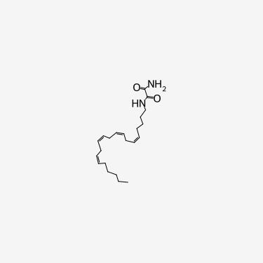 CCCCC/C=C\C/C=C\C/C=C\C/C=C\CCCCNC(=O)C(N)=O